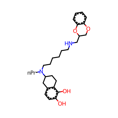 CCCN(CCCCCCNCC1COc2ccccc2O1)C1CCc2c(ccc(O)c2O)C1